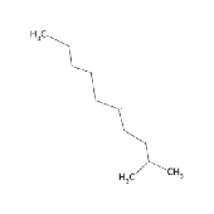 CCCCC[CH]CCC(C)C